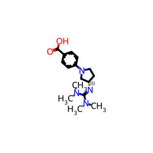 CN(C)C(=N[C@H]1CCN(c2ccc(C(=O)O)cc2)C1)N(C)C